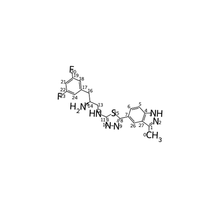 Cc1n[nH]c2ccc(-c3nnc(NC[C@@H](N)Cc4cc(F)cc(F)c4)s3)cc12